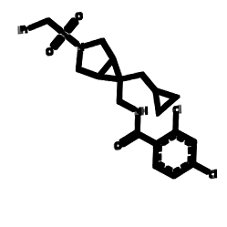 CC(C)CS(=O)(=O)N1CC2C(C1)C2(CNC(=O)c1ccc(Cl)cc1Cl)CC1CC1